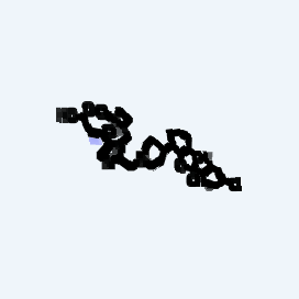 C[C@]1(c2ccc(Cl)cc2F)Oc2cccc(C3CCN(Cc4ncc(/C=C/C(=O)O)n4C[C@@H]4CCS4(=O)=O)CC3)c2O1